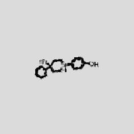 CCCC1(c2ccccc2)CC[SiH](c2ccc(O)cc2)CC1